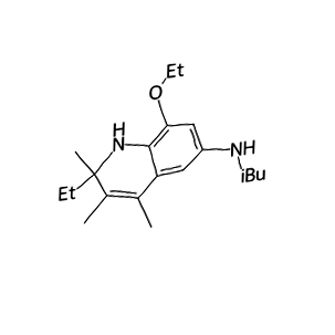 CCOc1cc(NC(C)CC)cc2c1NC(C)(CC)C(C)=C2C